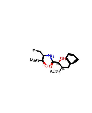 COC(=O)C(CC(C)C)NC(=O)[C@@H](O)[C@@H](Cc1ccccc1)NC(C)=O